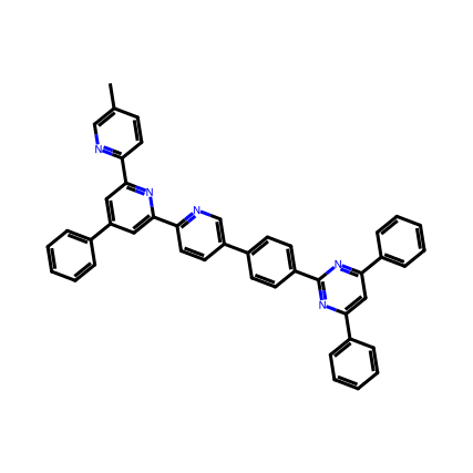 Cc1ccc(-c2cc(-c3ccccc3)cc(-c3ccc(-c4ccc(-c5nc(-c6ccccc6)cc(-c6ccccc6)n5)cc4)cn3)n2)nc1